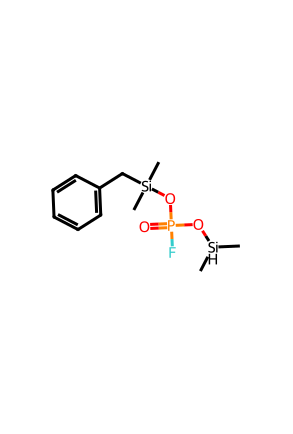 C[SiH](C)OP(=O)(F)O[Si](C)(C)Cc1ccccc1